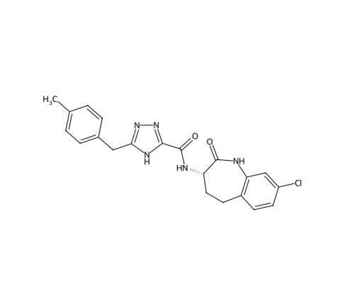 Cc1ccc(Cc2nnc(C(=O)N[C@H]3CCc4ccc(Cl)cc4NC3=O)[nH]2)cc1